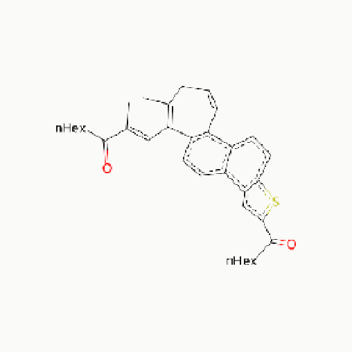 CCCCCCC(=O)/C(C)=C/C1=C(C)CC=Cc2c1ccc1c2ccc2sc(C(=O)CCCCCC)cc21